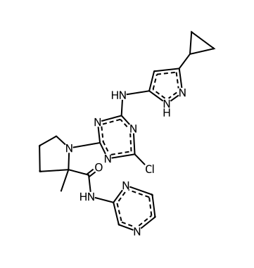 CC1(C(=O)Nc2cnccn2)CCCN1c1nc(Cl)nc(Nc2cc(C3CC3)n[nH]2)n1